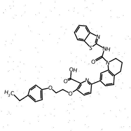 CCc1ccc(OCCOc2ccc(-c3ccc4c(c3)N(C(=O)Nc3nc5ccccc5s3)CCC4)nc2C(=O)O)cc1